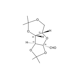 CC1(C)OC[C@@H]2O[C@@]3(C=O)OC(C)(C)O[C@H]3[C@@H]2O1